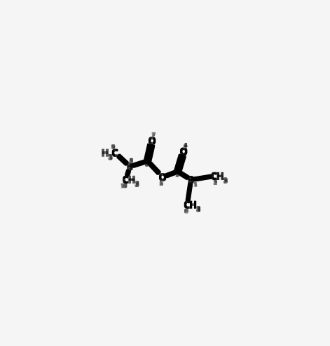 CB(C)C(=O)OC(=O)B(C)C